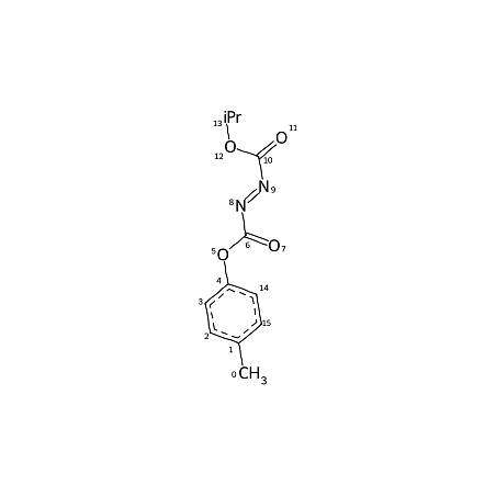 Cc1ccc(OC(=O)N=NC(=O)OC(C)C)cc1